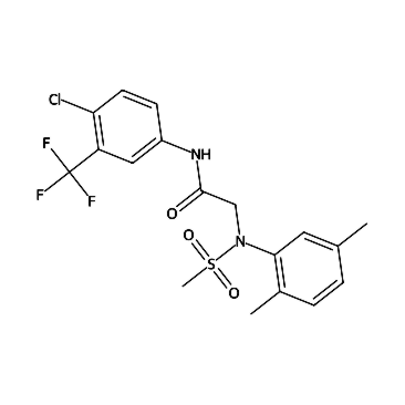 Cc1ccc(C)c(N(CC(=O)Nc2ccc(Cl)c(C(F)(F)F)c2)S(C)(=O)=O)c1